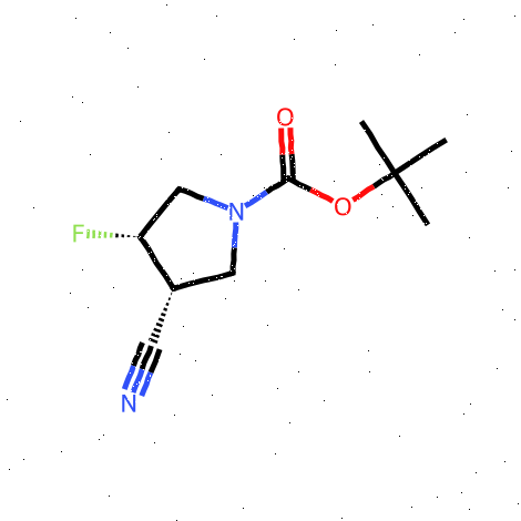 CC(C)(C)OC(=O)N1C[C@@H](F)[C@@H](C#N)C1